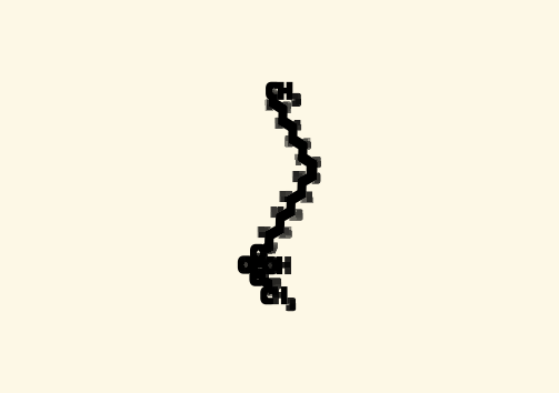 CCCCCCCC/C=C\CCCCCCCCOP(=O)(O)OCC